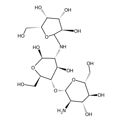 N[C@H]1[C@H](O[C@H]2[C@H](O)[C@@H](NC3O[C@H](CO)[C@H](O)[C@H](O)[C@H]3O)[C@H](O)O[C@@H]2CO)O[C@H](CO)[C@@H](O)[C@@H]1O